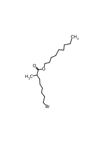 CCCCCCCCCOC(=O)C(C)CCCCCCBr